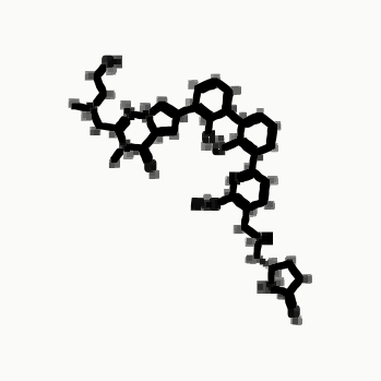 COc1nc(-c2cccc(-c3cccc(-c4cc5c(=O)n(C)c(CN(C)CCO)nn5c4)c3Cl)c2Cl)ccc1CNC[C@@H]1CCC(=O)N1